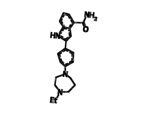 CCN1CCCN(c2ccc(-c3cc4c(C(N)=O)cccc4[nH]3)cc2)CC1